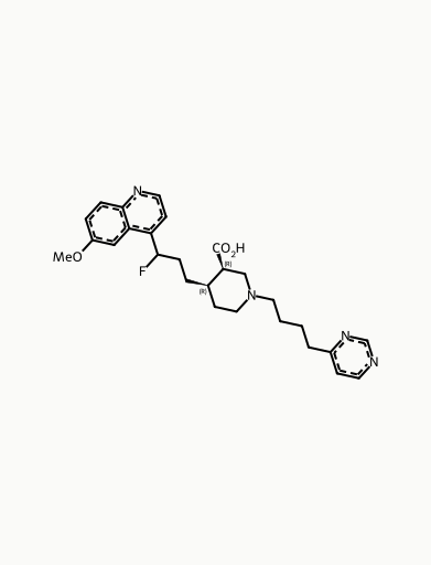 COc1ccc2nccc(C(F)CC[C@@H]3CCN(CCCCc4ccncn4)C[C@@H]3C(=O)O)c2c1